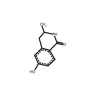 CC1Cc2cc(O)ccc2C(=O)P1